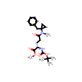 COC(=O)[C@H](CCC(=O)N(C)C1(Cc2ccccc2)CC1)NC(=O)OC(C)(C)C